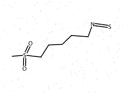 CS(=O)(=O)CCCCCN=S